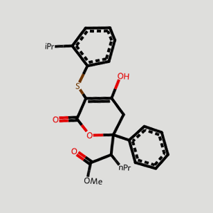 CCCC(C(=O)OC)C1(c2ccccc2)CC(O)=C(Sc2ccccc2C(C)C)C(=O)O1